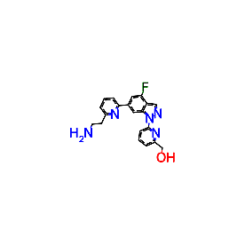 NCCc1cccc(-c2cc(F)c3cnn(-c4cccc(CO)n4)c3c2)n1